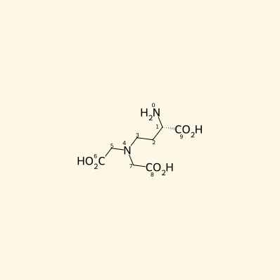 N[C@@H](CCN(CC(=O)O)CC(=O)O)C(=O)O